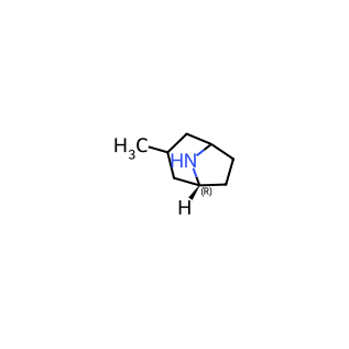 CC1CC2CC[C@H](C1)N2